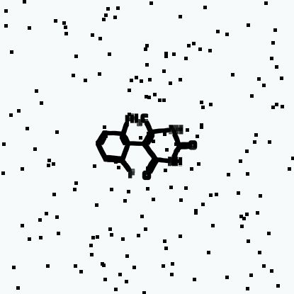 Cc1[nH]c(=O)[nH]c(=O)c1-c1c(F)cccc1F